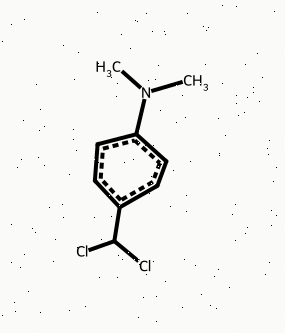 CN(C)c1ccc(C(Cl)Cl)cc1